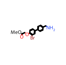 COC(=O)COc1ccc(-c2ccc(CN)cc2)cc1Br